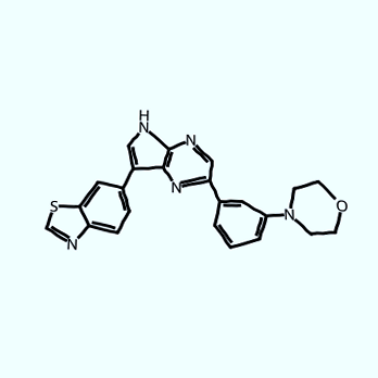 c1cc(-c2cnc3[nH]cc(-c4ccc5ncsc5c4)c3n2)cc(N2CCOCC2)c1